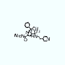 CNC(=O)c1cc(C(=O)NCCc2ccncc2)n([C@@H](C)c2ccccc2)n1